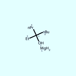 CCCCC(O)(CC)CCC.[MgH2]